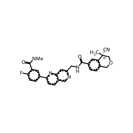 CNC(=O)c1cc(-c2ccc3cnc(CNC(=O)c4ccc5c(c4)[C@](C)(C#N)COC5)cc3n2)ccc1F